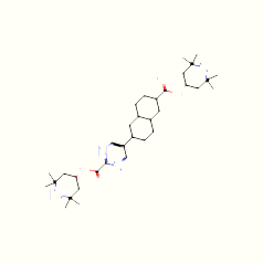 CC1(C)CC(OC(=O)c2ncc(C3CCC4CC(C(=O)OC5CC(C)(C)NC(C)(C)C5)CCC4C3)cn2)CC(C)(C)N1